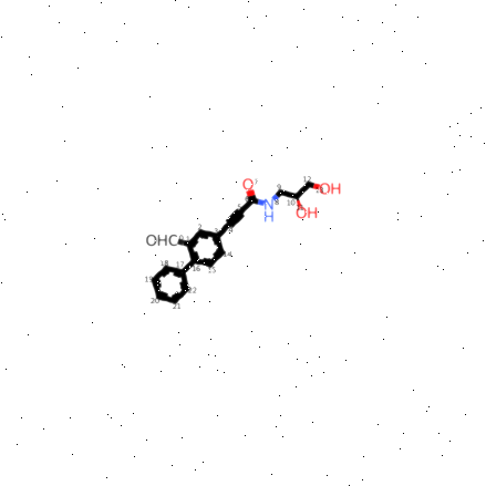 O=Cc1cc(C#CC(=O)NC[C@H](O)CO)ccc1-c1ccccc1